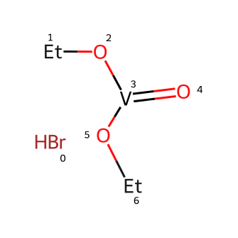 Br.CC[O][V](=[O])[O]CC